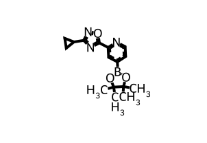 CC1(C)OB(c2ccnc(-c3nc(C4CC4)no3)c2)OC1(C)C